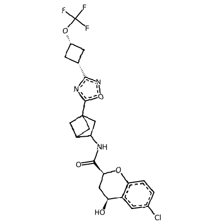 O=C(NC1CC2(c3nc([C@H]4C[C@@H](OC(F)(F)F)C4)no3)CC1C2)[C@@H]1C[C@H](O)c2cc(Cl)ccc2O1